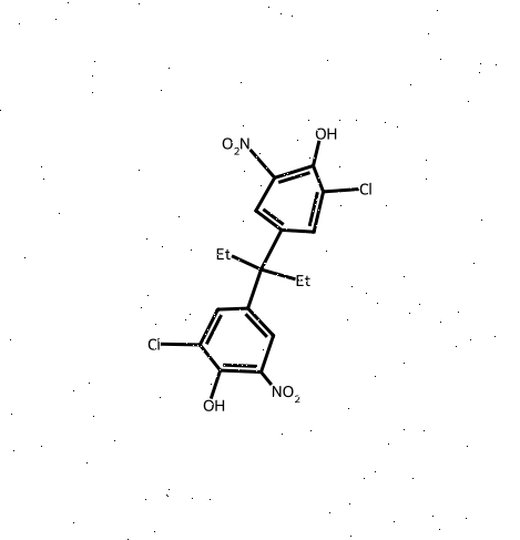 CCC(CC)(c1cc(Cl)c(O)c([N+](=O)[O-])c1)c1cc(Cl)c(O)c([N+](=O)[O-])c1